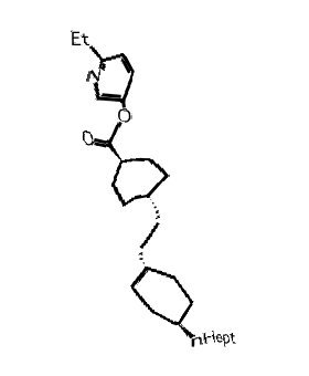 CCCCCCC[C@H]1CC[C@H](CC[C@H]2CC[C@H](C(=O)Oc3ccc(CC)nc3)CC2)CC1